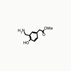 COC(=O)Cc1ccc(O)c(CN)c1